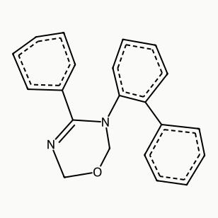 c1ccc(C2=NCOCN2c2ccccc2-c2ccccc2)cc1